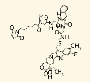 CC[C@@]1(O)C(=O)OCC2=C1C=C1c3nc4cc(F)c(C)cc4c(CSCNC(=O)CNC(=O)[C@H](Cc4ccccc4)NC(=O)CNC(=O)CNC(=O)CCCCCN4C(=O)C=CC4=O)c3CN1C2